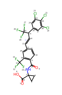 O=C(NC1(C(=O)O)CC1)c1ccc(/C=C/C(c2cc(Cl)c(Cl)c(Cl)c2)C(F)(F)F)cc1C(F)(F)F